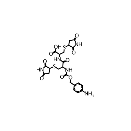 Nc1ccc(COC(=O)NC(CSC2CC(=O)NC2=O)C(=O)NC(CSC2CC(=O)NC2=O)C(=O)O)cc1